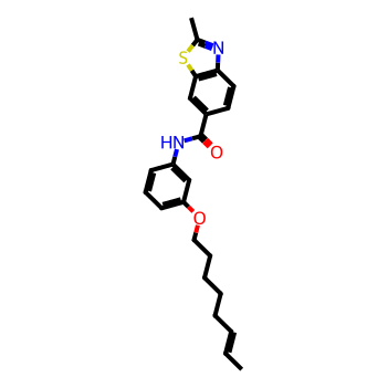 CC=CCCCCCOc1cccc(NC(=O)c2ccc3nc(C)sc3c2)c1